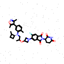 Cc1ccc(-c2c(C)noc2C)cc1N(CC(C)OC1CN(c2cc3c(cc2F)C(=O)N(C2CCC(=O)NC2=O)C3=O)C1)[C@@H]1CCC1C